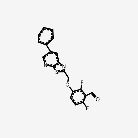 O=Cc1c(F)ccc(OCc2nc3cc(-c4ccccc4)cnc3s2)c1F